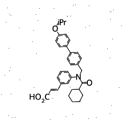 CC(C)Oc1ccc(-c2ccc(CN(C(=O)C3CCCCC3)c3cccc(C=CC(=O)O)c3)cc2)cc1